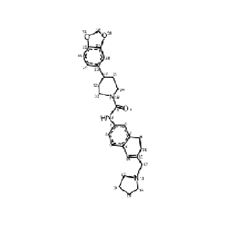 O=C(Nc1ccc2c(c1)CCC(CN1CCCC1)=C2)N1CCC(c2ccc3c(c2)OCO3)CC1